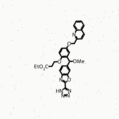 CCOC(=O)CCOc1ccc(OCc2ccc3ccccc3n2)cc1C(OC)c1ccc2nc(-c3nnn[nH]3)oc2c1